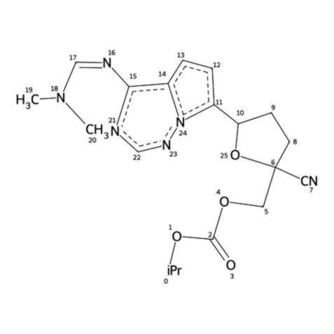 CC(C)OC(=O)OCC1(C#N)CCC(c2ccc3c(/N=C\N(C)C)ncnn23)O1